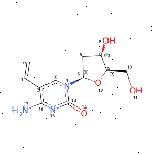 C=Cc1cn([C@H]2C[C@@H](O)[C@@H](CO)O2)c(=O)nc1N